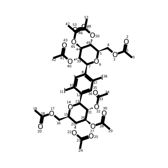 CC(=O)OC[C@H]1O[C@@H](c2cc(I)c([C@@H]3O[C@H](COC(C)=O)[C@@H](OC(C)=O)[C@H](OC(C)=O)[C@H]3OC(C)=O)cc2I)[C@H](OC(C)=O)[C@@H](OC(C)=O)[C@@H]1OC(C)=O